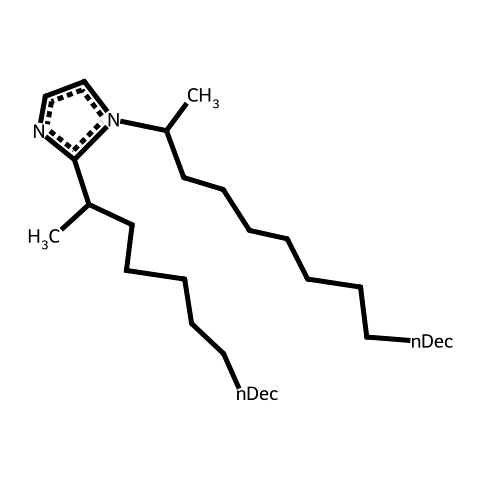 CCCCCCCCCCCCCCCCCC(C)n1ccnc1C(C)CCCCCCCCCCCCCCC